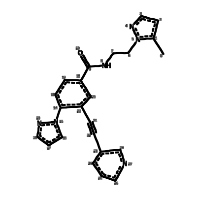 Cc1ccnn1CCNC(=O)c1ccc(-n2cccn2)c(C#Cc2cccnc2)c1